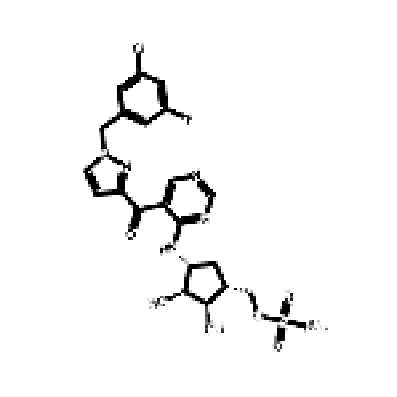 NS(=O)(=O)OC[C@H]1C[C@@H](Nc2ncncc2C(=O)c2ccn(Cc3cc(F)cc(Cl)c3)n2)[C@H](O)[C@@H]1O